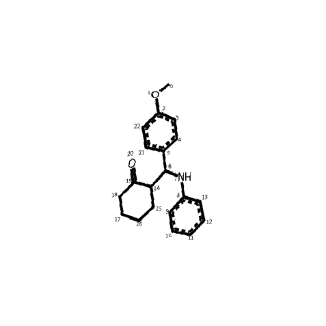 COc1ccc(C(Nc2ccccc2)C2CCCCC2=O)cc1